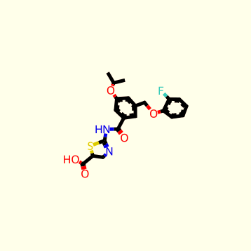 CC(C)Oc1cc(COc2ccccc2F)cc(C(=O)NC2=NCC(C(=O)O)S2)c1